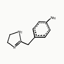 [NH]c1ccc(CC2=NCCN2)cc1